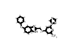 FC(F)(F)c1cc(SCc2nc3cc(Oc4ccccc4)ccc3[nH]2)cc(-n2cncn2)n1